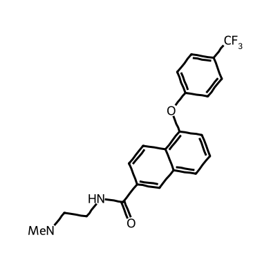 CNCCNC(=O)c1ccc2c(Oc3ccc(C(F)(F)F)cc3)cccc2c1